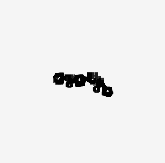 NC(CNC(=O)CC1C=CCC1)c1ccc(C(=O)Nc2ccncc2)cc1